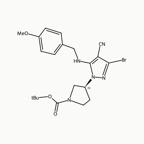 COc1ccc(CNc2c(C#N)c(Br)nn2[C@H]2CCN(C(=O)OC(C)(C)C)C2)cc1